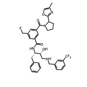 Cc1coc(C2CCCN2C(=O)c2cc(CF)cc(C(=O)N[C@@H](Cc3ccccc3)[C@H](O)CNCc3cccc(C(F)(F)F)c3)c2)n1